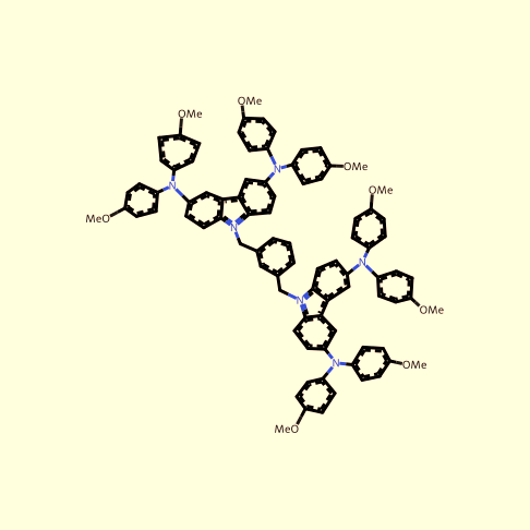 COc1ccc(N(c2ccc(OC)cc2)c2ccc3c(c2)c2cc(N(c4ccc(OC)cc4)c4ccc(OC)cc4)ccc2n3Cc2cccc(Cn3c4ccc(N(c5ccc(OC)cc5)c5ccc(OC)cc5)cc4c4cc(N(c5ccc(OC)cc5)c5ccc(OC)cc5)ccc43)c2)cc1